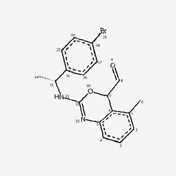 Cc1cccc2c1C(C=O)OC(N[C@H](C)c1ccc(Br)cc1)=N2